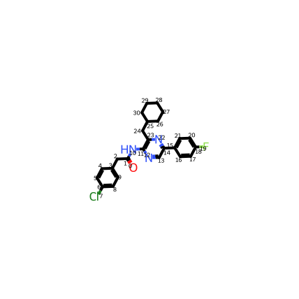 O=C(Cc1ccc(Cl)cc1)Nc1ncc(-c2ccc(F)cc2)nc1CC1CCCCC1